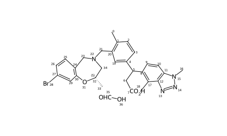 Cc1ccc(C(CC(=O)O)c2ccc3c(nnn3C)c2C)cc1CN1Cc2ccc(Br)cc2O[C@@H](C)C1.O=CO